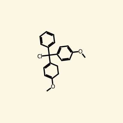 COC1=CC=C(C(Cl)(c2ccccc2)c2ccc(OC)cc2)CC1